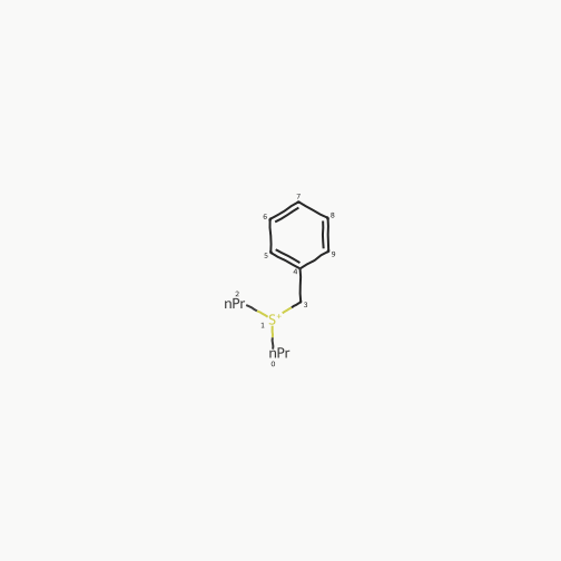 CCC[S+](CCC)Cc1ccccc1